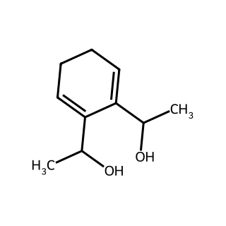 CC(O)C1=CCCC=C1C(C)O